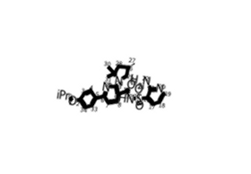 CC(C)Oc1ccc(-c2ccc(C(=O)NS(=O)(=O)c3cccnc3N)c(N3C[C@@H](C)CC3(C)C)n2)cc1